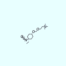 CC[C@]1(N=C=O)CC[C@H](OCOCC[Si](C)(C)C)CC1